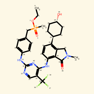 CCOP(C)(=O)Cc1ccc(Nc2ncc(C(F)(F)F)c(Nc3ccc([C@H]4CC[C@H](O)CC4)c4c3C(=O)N(C)C4)n2)cc1